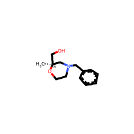 C[C@]1(CO)CN(Cc2ccccc2)CCO1